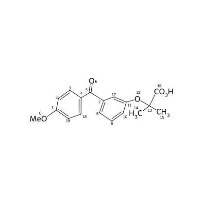 COc1ccc(C(=O)c2cccc(OC(C)(C)C(=O)O)c2)cc1